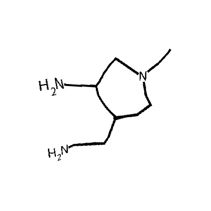 CN1CC(N)C(CN)C1